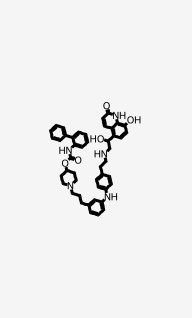 O=C(Nc1ccccc1-c1ccccc1)OC1CCN(CCCc2cccc(Nc3ccc(CCNCC(O)c4ccc(O)c5[nH]c(=O)ccc45)cc3)c2)CC1